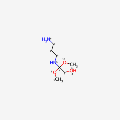 COC(CO)(NCCCN)OC